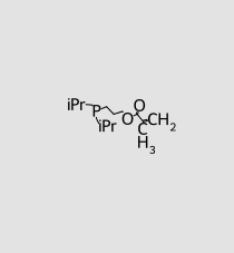 C=C(C)C(=O)OCCCP(CC(C)C)CC(C)C